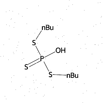 CCCCSP(O)(=S)SCCCC